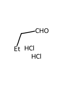 CCCC=O.Cl.Cl